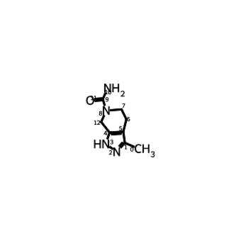 Cc1n[nH]c2c1CCN(C(N)=O)C2